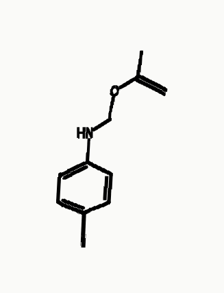 C=C(C)OCNc1ccc(C)cc1